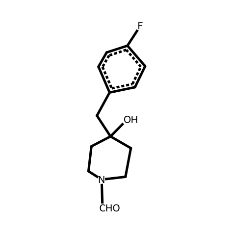 O=CN1CCC(O)(Cc2ccc(F)cc2)CC1